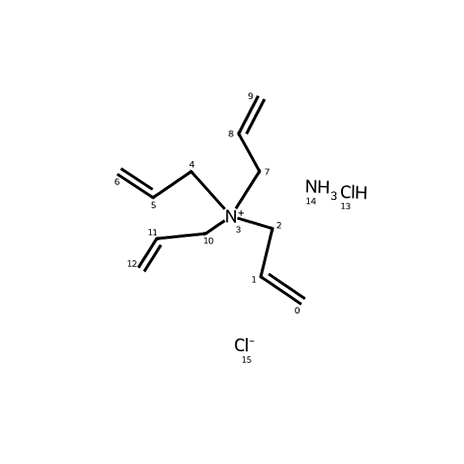 C=CC[N+](CC=C)(CC=C)CC=C.Cl.N.[Cl-]